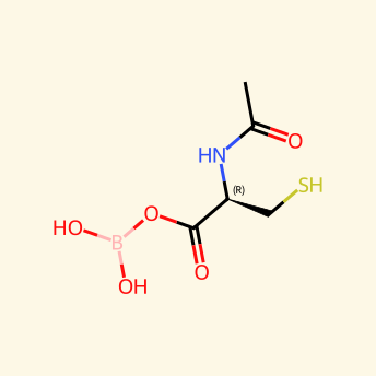 CC(=O)N[C@@H](CS)C(=O)OB(O)O